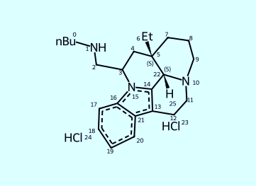 CCCCNCC1C[C@]2(CC)CCCN3CCc4c(n1c1ccccc41)[C@@H]32.Cl.Cl